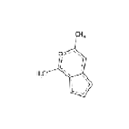 Cc1cc2cccc-2c(C)o1